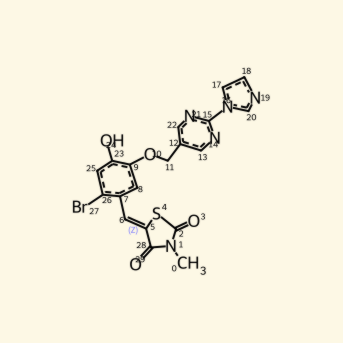 CN1C(=O)S/C(=C\c2cc(OCc3cnc(-n4ccnc4)nc3)c(O)cc2Br)C1=O